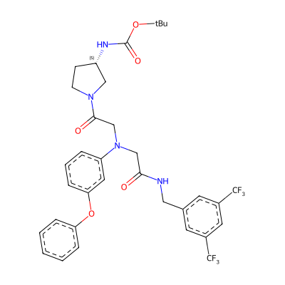 CC(C)(C)OC(=O)N[C@H]1CCN(C(=O)CN(CC(=O)NCc2cc(C(F)(F)F)cc(C(F)(F)F)c2)c2cccc(Oc3ccccc3)c2)C1